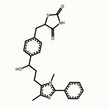 Cc1nc(-c2ccccc2)n(C)c1CCC(O)c1ccc(CC2SC(=O)NC2=O)cc1